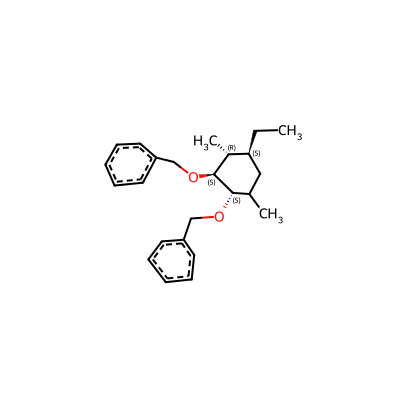 CC[C@H]1CC(C)[C@H](OCc2ccccc2)[C@@H](OCc2ccccc2)[C@@H]1C